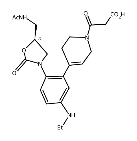 CCNc1ccc(N2C[C@H](CNC(C)=O)OC2=O)c(C2=CCN(C(=O)CC(=O)O)CC2)c1